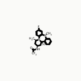 C[C@@H]1C[C@H](NC(=O)C(F)(F)F)C[C@H]2c3ccccc3N(C)c3cc(F)ccc3N12